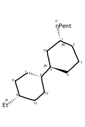 CCCCC[C@@H]1CCC[C@@H]([C@H]2CC[C@@H](CC)CC2)C1